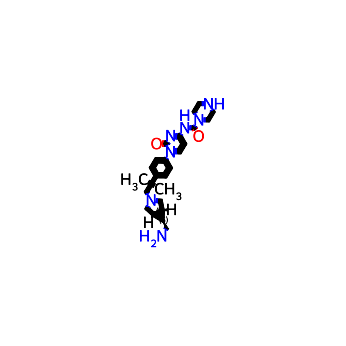 CC(C)(CN1C[C@@H]2[C@@H](CN)[C@@H]2C1)c1ccc(-n2ccc(NC(=O)N3CCNCC3)nc2=O)cc1